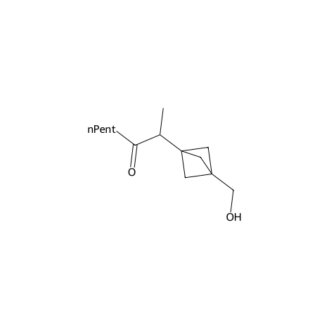 CCCCCC(=O)C(C)C12CC(CO)(C1)C2